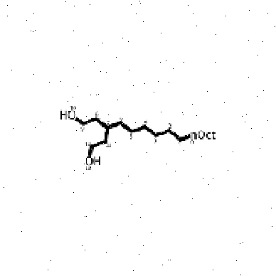 CCCCCCCCCCCCCCC(CCO)CCO